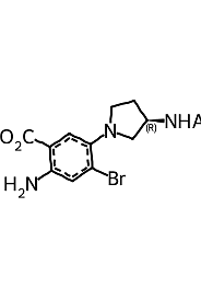 CC(=O)N[C@@H]1CCN(c2cc(C(=O)O)c(N)cc2Br)C1